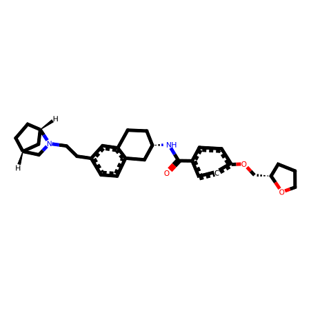 O=C(N[C@H]1CCc2cc(CCN3C[C@@H]4CC[C@H]3C4)ccc2C1)c1ccc(OC[C@@H]2CCCO2)cc1